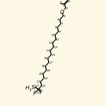 C=C(C)COCCCCCCCCCCCCCCCCCCCC(F)(F)[SiH3]